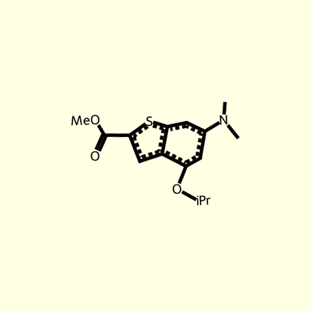 COC(=O)c1cc2c(OC(C)C)cc(N(C)C)cc2s1